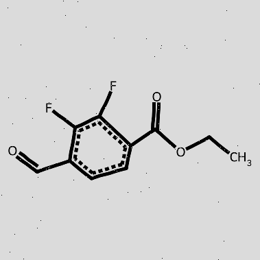 CCOC(=O)c1ccc(C=O)c(F)c1F